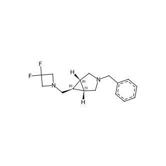 FC1(F)CN(C[C@H]2[C@@H]3CN(Cc4ccccc4)C[C@@H]32)C1